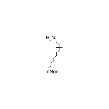 CCCCCCCCCCCCCCCCCC(C)(C)CCCN